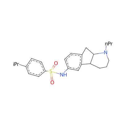 CCCN1CCCC2c3cc(NS(=O)(=O)c4ccc(C(C)C)cc4)ccc3CC21